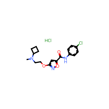 CN(CCOc1cc(C(=O)Nc2ccc(Cl)cc2)on1)C1CCC1.Cl